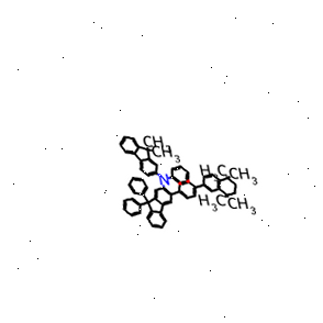 CC1(C)CCC(C)(C)c2cc(-c3ccc(-c4cc5c(cc4N(c4ccccc4)c4ccc6c(c4)C(C)(C)c4ccccc4-6)C(c4ccccc4)(c4ccccc4)c4ccccc4-5)cc3)ccc21